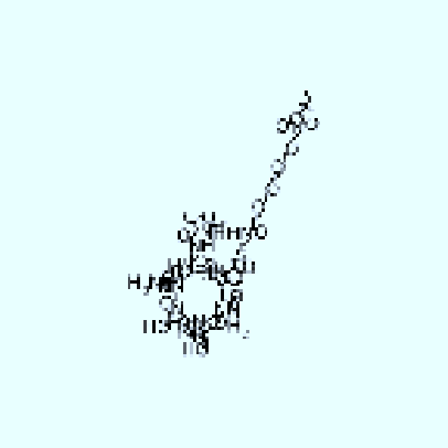 CCC(=O)N[C@H](C(=O)NCC(=O)N[C@H]1C[S+]([O-])c2[nH]c3c(CSCCNC(=O)CCOCCOCCOCCOCCN4C(=O)CC(C(C)(C)CC)C4=O)c(OC)ccc3c2C[C@@H](C(N)=O)NC(=O)[C@H]([C@@H](C)[C@@H](O)CO)NC(=O)[C@@H]2C[C@@H](O)CN2C(=O)[C@H](CC(N)=O)NC1=O)[C@@H](C)CC